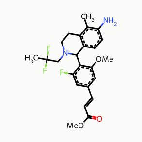 COC(=O)/C=C/c1cc(F)c(C2c3ccc(N)c(C)c3CCN2CC(C)(F)F)c(OC)c1